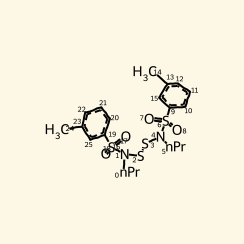 CCCN(SSN(CCC)S(=O)(=O)c1cccc(C)c1)S(=O)(=O)c1cccc(C)c1